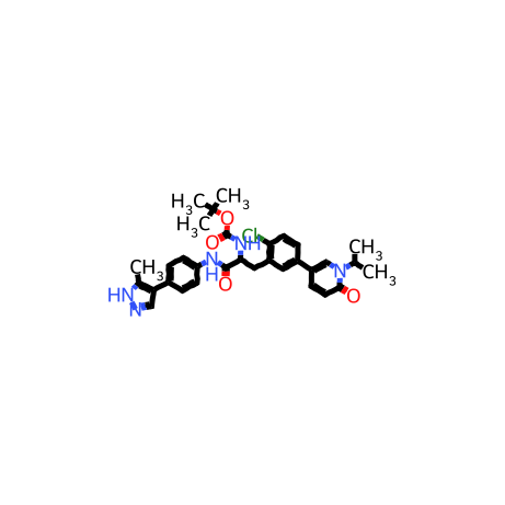 Cc1[nH]ncc1-c1ccc(NC(=O)C(Cc2cc(-c3ccc(=O)n(C(C)C)c3)ccc2Cl)NC(=O)OC(C)(C)C)cc1